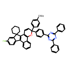 COc1ccc(C2(c3ccc(-c4nc(-c5ccccc5)nc(-c5ccccc5)n4)cc3)C=Cc3c4c(c5ccccc5c3O2)-c2ccc(F)cc2C42CCCCC2)cc1